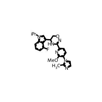 COc1nc(C2=NOCC(c3cn(C(C)C)c4cccc(F)c34)N2)ccc1-n1ccnc1C